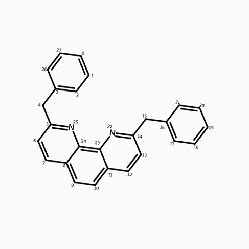 c1ccc(Cc2ccc3ccc4ccc(Cc5ccccc5)nc4c3n2)cc1